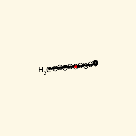 C=CCCOCCOCCOCCOCCOCCOCCOCCOCc1ccccc1